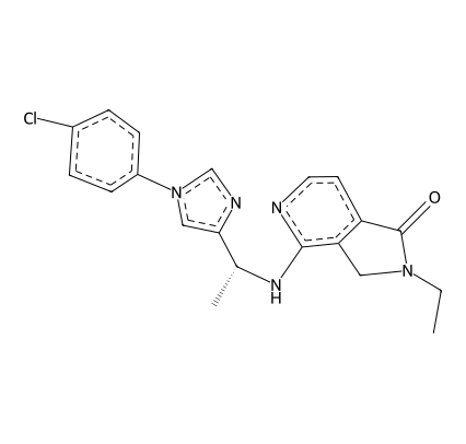 CCN1Cc2c(ccnc2N[C@H](C)c2cn(-c3ccc(Cl)cc3)cn2)C1=O